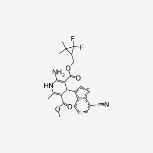 COC(=O)C1=C(C)NC(N)=C(C(=O)OCC2C(C)(C)C2(F)F)C1c1csc2c(C#N)cccc12